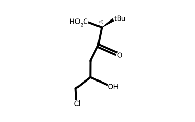 CC(C)(C)[C@H](C(=O)O)C(=O)CC(O)CCl